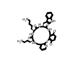 NCCCC[C@@H]1NC(=O)[C@H](CCCN)NCc2cccnc2Sc2c(Cl)ccc(Cl)c2CNC(=O)[C@H](Cc2c[nH]c3ccccc23)NC1=O